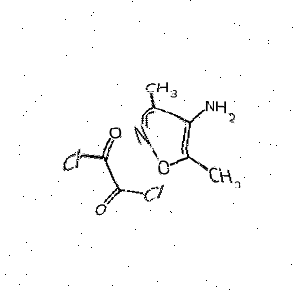 Cc1noc(C)c1N.O=C(Cl)C(=O)Cl